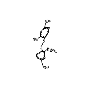 CC(C)(C)c1ccc(SSc2ccc(C(C)(C)C)cc2C(C)(C)C)c(C(C)(C)C)c1